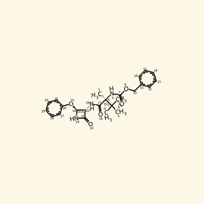 CC(C)(C)[C@](C)(NC(=O)OCc1ccccc1)C(=O)N[C@@H]1C(=O)N[C@H]1Oc1ccccc1